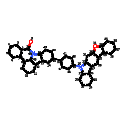 O=c1c2ccccc2c2cccc3c4cc(-c5ccc(-n6c7ccccc7c7cc8c(cc76)oc6ccccc68)cc5)ccc4n1c23